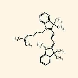 C=C(C)CCCC[N+]1=C(/C=C/C=C2\N(C)c3ccccc3C2(C)C)C(C)(C)c2ccccc21